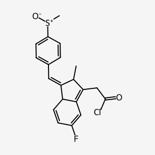 CC1C(=Cc2ccc([S+](C)[O-])cc2)C2C=CC(F)=CC2=C1CC(=O)Cl